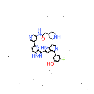 O=C(CC1CCNCC1)Nc1cncc(-c2ccc3[nH]nc(-c4cc5c(-c6cc(O)cc(F)c6)nccc5[nH]4)c3n2)c1